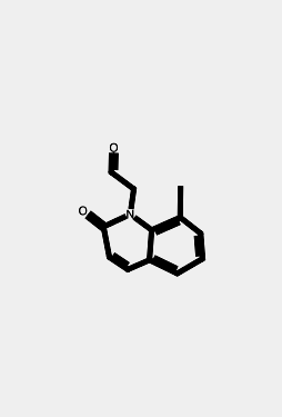 Cc1cccc2ccc(=O)n(CC=O)c12